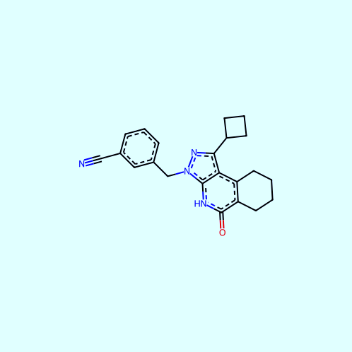 N#Cc1cccc(Cn2nc(C3CCC3)c3c4c(c(=O)[nH]c32)CCCC4)c1